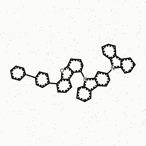 c1ccc(-c2ccc(-c3cccc4c3oc3cccc(-n5c6ccccc6c6ccc(-n7c8ccccc8c8ccccc87)cc65)c34)cc2)cc1